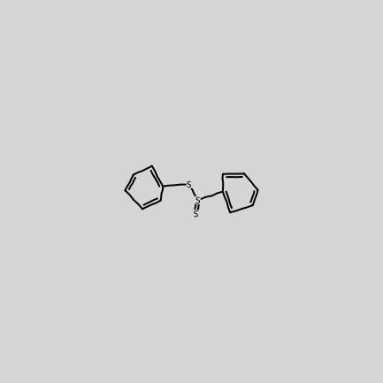 S=S(Sc1ccccc1)c1ccccc1